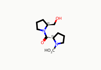 O=C([C@@H]1CCCN1C(=O)O)N1CCC[C@H]1CO